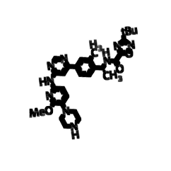 COc1nc(Nc2cc(-c3ccc([C@@H](C)NC(=O)c4nc(C(C)(C)C)no4)c(C)c3)ncn2)ccc1N1CCNCC1